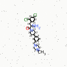 CN1CCN(Cc2cccc(C3CCN(C(=O)C(N)Cc4ccc(Cl)cc4Cl)CC3)c2)CC1